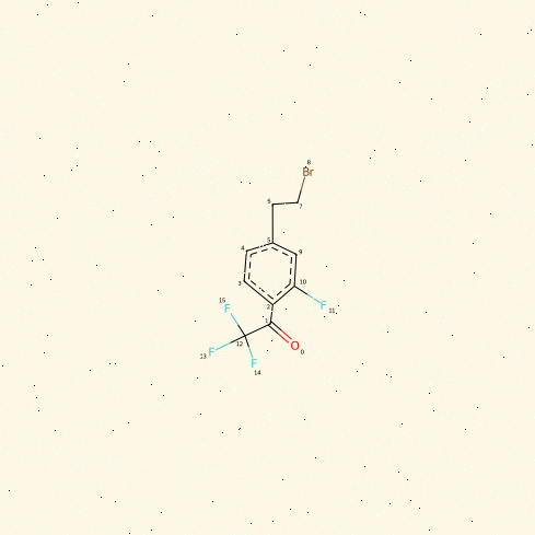 O=C(c1ccc(CCBr)cc1F)C(F)(F)F